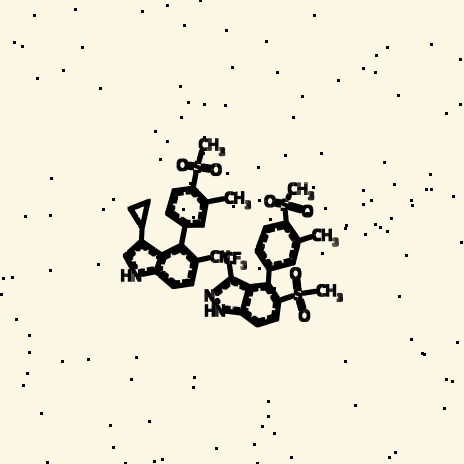 Cc1cc(-c2c(C#N)ccc3[nH]cc(C4CC4)c23)ccc1S(C)(=O)=O.Cc1cc(-c2c(S(C)(=O)=O)ccc3[nH]nc(C(F)(F)F)c23)ccc1S(C)(=O)=O